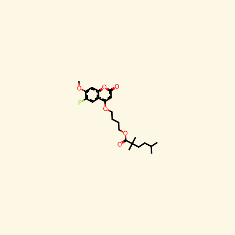 COc1cc2oc(=O)cc(OCCCCOC(=O)C(C)(C)CCC(C)C)c2cc1F